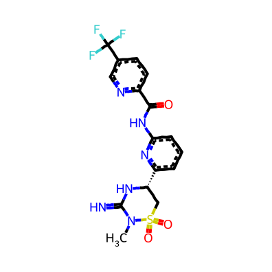 CN1C(=N)N[C@H](c2cccc(NC(=O)c3ccc(C(F)(F)F)cn3)n2)CS1(=O)=O